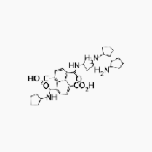 NC1CCCC1.NC1CCCC1.O=C(O)c1ccc(C(=O)NC2CCCC2)c2c(C(=O)O)ccc(C(=O)NC3CCCC3)c12